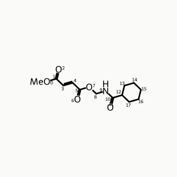 COC(=O)/C=C/C(=O)OCNC(=O)C1CCCCC1